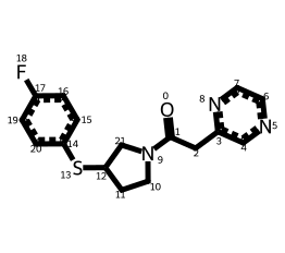 O=C(Cc1cnccn1)N1CCC(Sc2ccc(F)cc2)C1